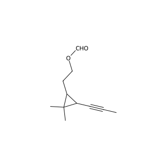 CC#CC1C(CCOC=O)C1(C)C